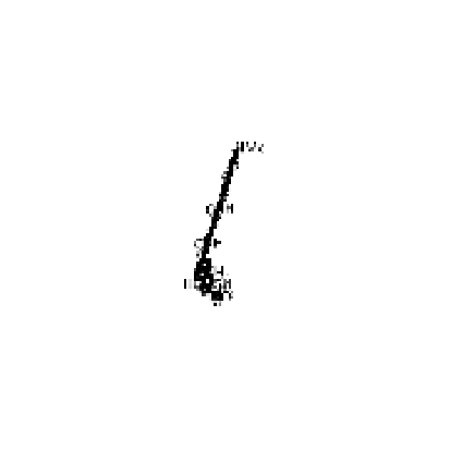 CNCCCOCCOCCOCCCNC(=O)CCCCCCNC(=O)CO[C@H]1CC[C@@]2(C)C(CCC3C2C[C@@H](O)[C@]2(C)[C@@H](C4=CC(=O)OC4)CC[C@]32O)C1